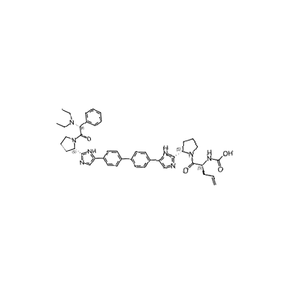 C=CC[C@H](NC(=O)O)C(=O)N1CCC[C@H]1c1ncc(-c2ccc(-c3ccc(-c4cnc([C@@H]5CCCN5C(=O)[C@@H](c5ccccc5)N(CC)CC)[nH]4)cc3)cc2)[nH]1